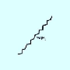 CCCCCCCCCCCCCCCCC.[MgH2]